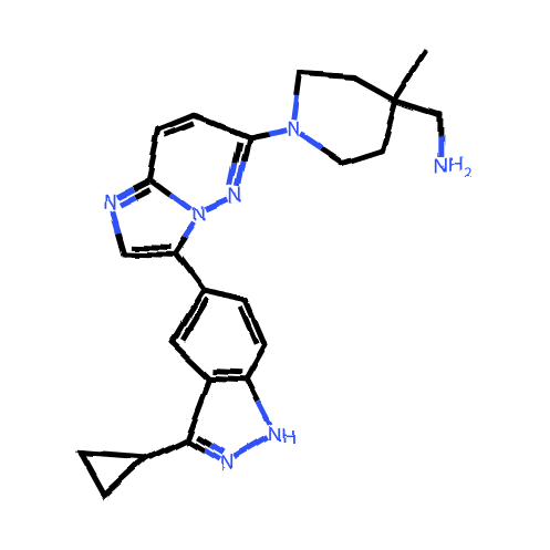 CC1(CN)CCN(c2ccc3ncc(-c4ccc5[nH]nc(C6CC6)c5c4)n3n2)CC1